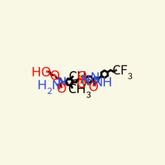 Cc1cc(N(CCOCCO)C(N)=O)cc(C)c1C=CS(=O)(=O)N1CCC2(CC1)N=C(C1CCC(CCC(F)(F)F)CC1)NC2=O